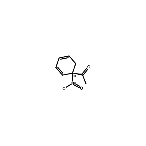 CC(=O)[C@@]1([N+](=O)[O-])C=CC=CC1